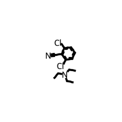 CCN(CC)CC.N#Cc1c(Cl)cccc1Cl